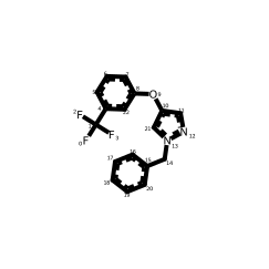 FC(F)(F)c1cccc(Oc2cnn(Cc3ccccc3)c2)c1